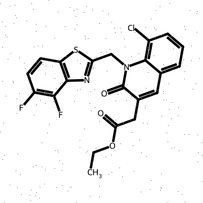 CCOC(=O)Cc1cc2cccc(Cl)c2n(Cc2nc3c(F)c(F)ccc3s2)c1=O